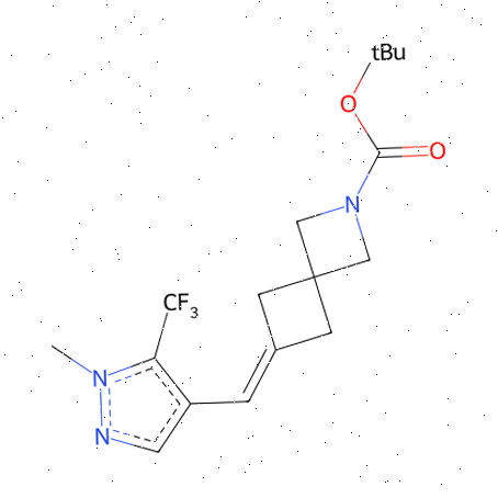 Cn1ncc(C=C2CC3(C2)CN(C(=O)OC(C)(C)C)C3)c1C(F)(F)F